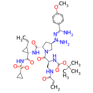 C=CC(=O)NC[C@H](NC(=O)OC(C)(C)C)C(=O)N1C[C@H](N(N)/N=C(\N)c2ccc(OC)cc2)C[C@H]1C(=O)N[C@]1(C(=O)NS(=O)(=O)C2CC2)CC1C=C